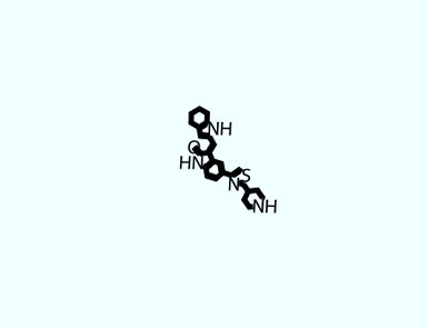 O=C1Nc2ccc(-c3csc(C4CCNCC4)n3)cc2/C1=C/c1cc2c([nH]1)CCCC2